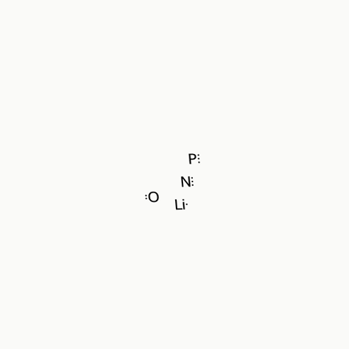 [Li].[N].[O].[P]